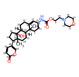 C[C@]12CC[C@H](NC(=O)OCCN3CCOCC3)C=C1CC[C@@H]1[C@@H]2CC[C@]2(C)[C@@H](c3ccc(=O)oc3)CC[C@]12O